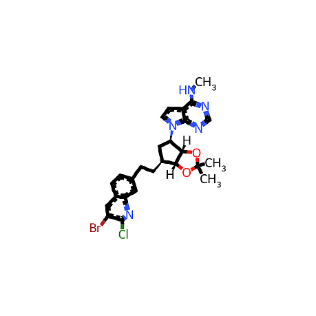 CNc1ncnc2c1ccn2[C@@H]1C[C@H](CCc2ccc3cc(Br)c(Cl)nc3c2)[C@H]2OC(C)(C)O[C@H]21